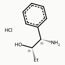 CC[C@H](O)[C@@H](N)c1ccccc1.Cl